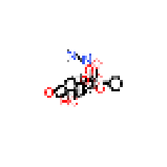 CN(C)CCN(C)C(=O)OCC(=O)[C@@]12O[C@H](C3CCCCC3)O[C@@H]1C[C@H]1[C@@H]3CCC4=CC(=O)C=C[C@]4(C)[C@H]3[C@@H](O)C[C@@]12C